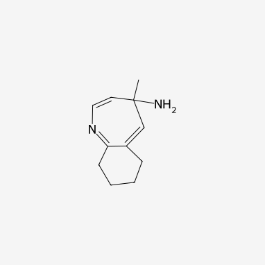 CC1(N)C=CN=C2CCCCC2=C1